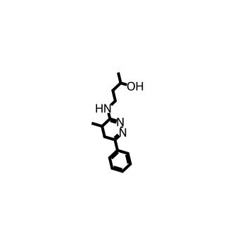 CC(O)CCNC1=NN=C(c2ccccc2)CC1C